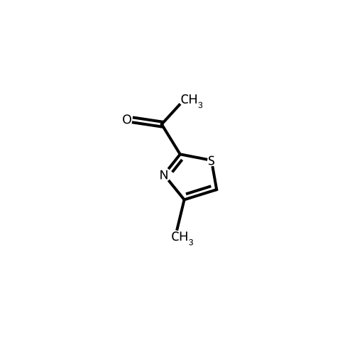 CC(=O)c1nc(C)cs1